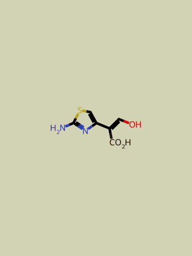 Nc1nc(C(=CO)C(=O)O)cs1